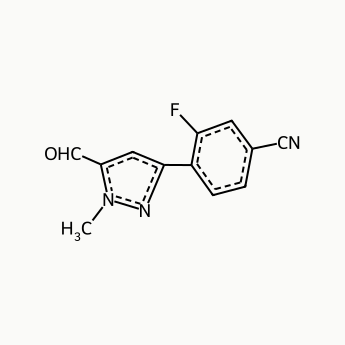 Cn1nc(-c2ccc(C#N)cc2F)cc1C=O